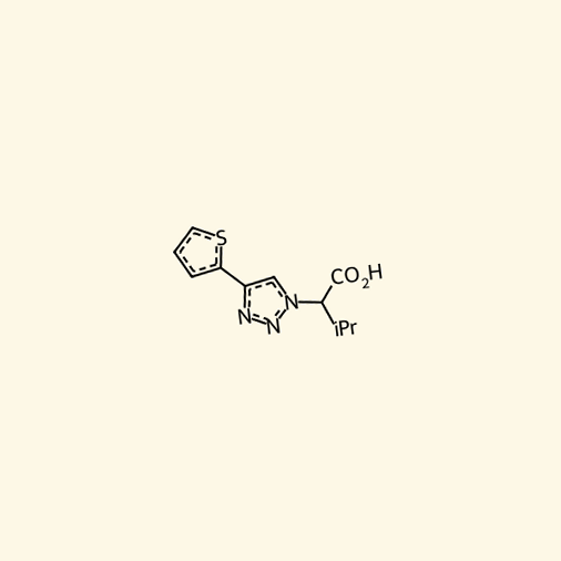 CC(C)C(C(=O)O)n1cc(-c2cccs2)nn1